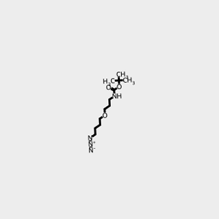 CC(C)(C)OC(=O)NCCCOCCCCN=[N+]=[N-]